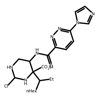 CCCCCCC(CC)C1(C(=O)OCC)NC(Cl)NCC1NC(=O)c1ccc(-n2ccnc2)nn1